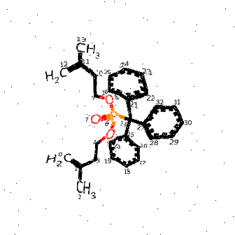 C=C(C)CCOP(=O)(OCCC(=C)C)C(c1ccccc1)(c1ccccc1)c1ccccc1